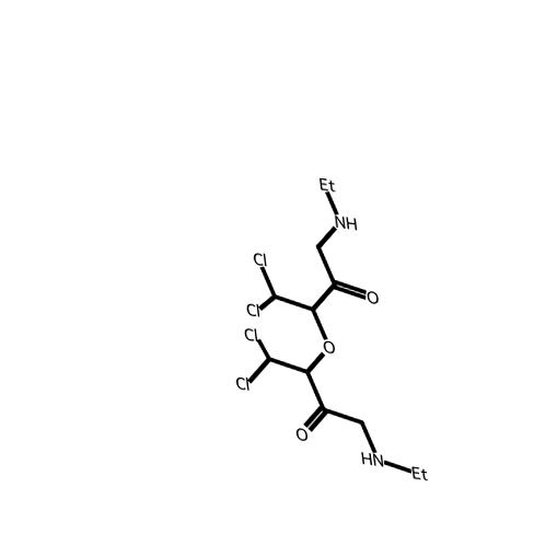 CCNCC(=O)C(OC(C(=O)CNCC)C(Cl)Cl)C(Cl)Cl